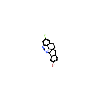 N#C/N=C1/c2cc(Br)ccc2CC12CCc1cc(F)ccc1C2